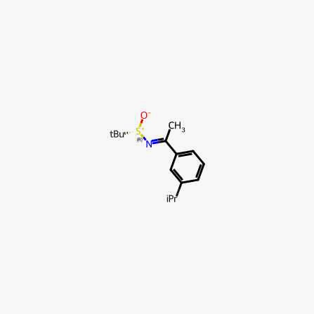 CC(=N[S@@+]([O-])C(C)(C)C)c1cccc(C(C)C)c1